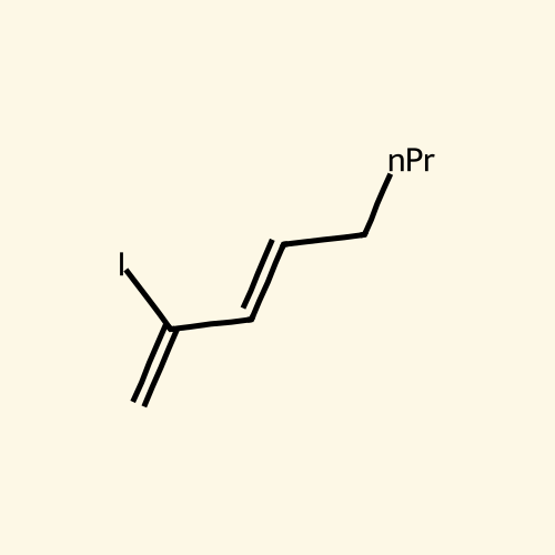 C=C(I)C=CCCCC